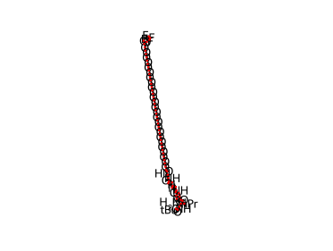 CCCN(CCCNC(=O)OC(C)(C)C)C(=O)C1=Cc2ccc(C(=O)Nc3ccc(N4CCC(C(=O)NCCNC(=O)CCOCCOCCOCCOCCOCCOCCOCCOCCOCCOCCOCCOCCOCCOCCOCCOCCOCCOCCOCCOCCOCCOCCOCCOCCOCCC(=O)Oc5c(F)c(F)cc(F)c5F)CC4)nc3)cc2N=C(N)C1